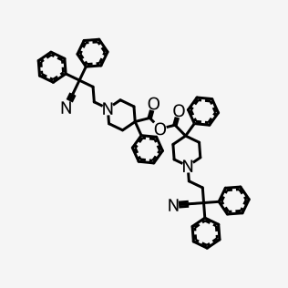 N#CC(CCN1CCC(C(=O)OC(=O)C2(c3ccccc3)CCN(CCC(C#N)(c3ccccc3)c3ccccc3)CC2)(c2ccccc2)CC1)(c1ccccc1)c1ccccc1